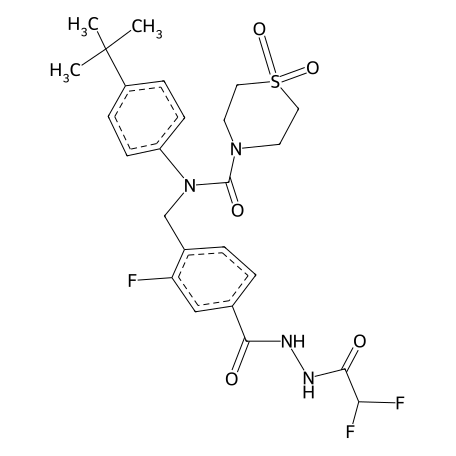 CC(C)(C)c1ccc(N(Cc2ccc(C(=O)NNC(=O)C(F)F)cc2F)C(=O)N2CCS(=O)(=O)CC2)cc1